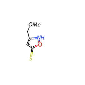 COCc1cc(=S)o[nH]1